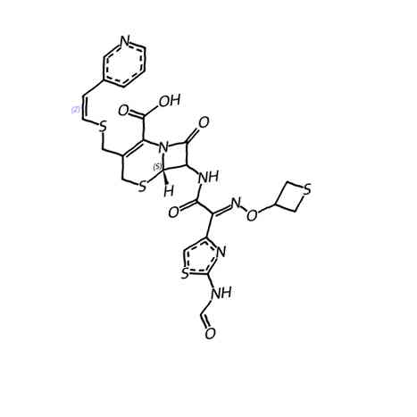 O=CNc1nc(C(=NOC2CSC2)C(=O)NC2C(=O)N3C(C(=O)O)=C(CS/C=C\c4cccnc4)CS[C@@H]23)cs1